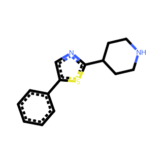 c1ccc(-c2cnc(C3CCNCC3)s2)cc1